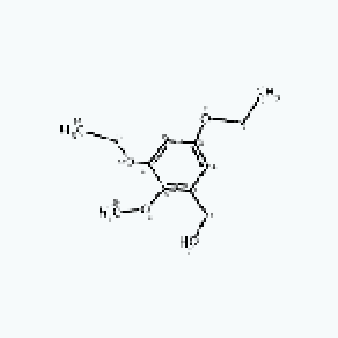 CCOc1cc(CO)c(OC)c(OCC)c1